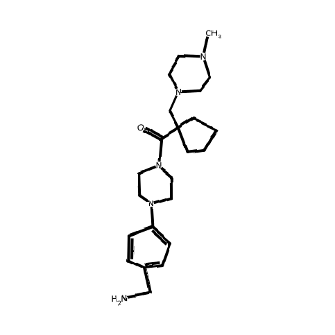 CN1CCN(CC2(C(=O)N3CCN(c4ccc(CN)cc4)CC3)CCCC2)CC1